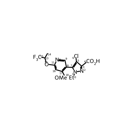 CCn1nc(C(=O)O)c(Cl)c1-c1cnc(OC(C)C(F)(F)F)cc1OC